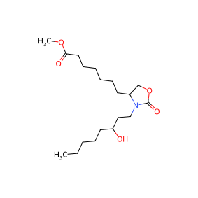 CCCCCC(O)CCN1C(=O)OCC1CCCCCCC(=O)OC